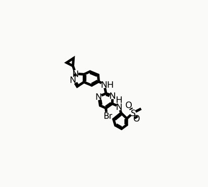 CS(=O)(=O)c1ccccc1Nc1nc(Nc2ccc3c(cnn3C3CC3)c2)ncc1Br